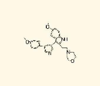 COc1ccc(-c2cncc(-c3c(CCN4CCOCC4)[nH]c4ccc(OC)cc34)c2)cc1